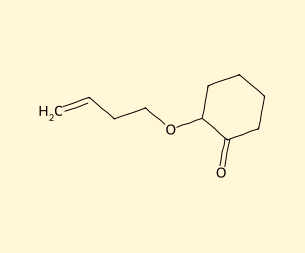 C=CCCOC1CCCCC1=O